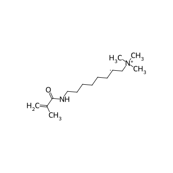 C=C(C)C(=O)NCCCCCC[CH]C[N+](C)(C)C